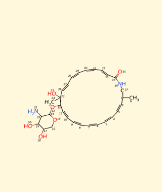 CC1\C=C/C=C\C=C/C=C\C=C/C(OC2OCC(O)C(O)C2N)C(C)(O)/C=C/C=C\C=C/C=C/C(=O)NC1